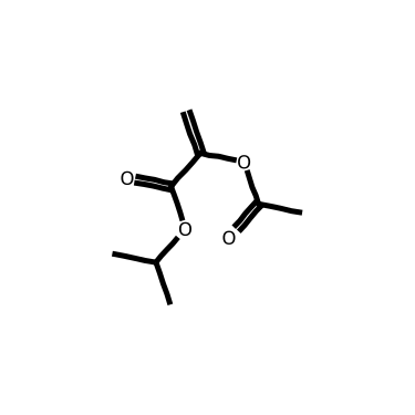 C=C(OC(C)=O)C(=O)OC(C)C